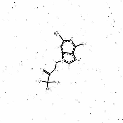 CC(C)(C)C(=O)OCn1cnc2c(Cl)nc(N)nc21